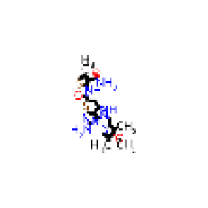 COc1c(C)cnc(CN2NC3CC(C(=O)Nc4scc(C)c4C(N)=O)Sc4nc(N)nc2c43)c1C